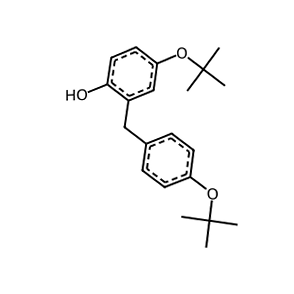 CC(C)(C)Oc1ccc(Cc2cc(OC(C)(C)C)ccc2O)cc1